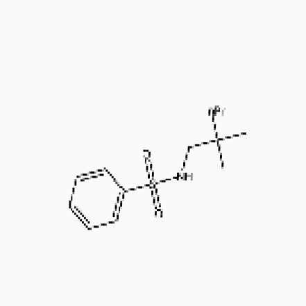 CCCC(C)(C)CNS(=O)(=O)c1ccccc1